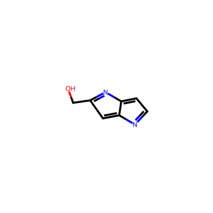 OCC1=NC2=CC=NC2=C1